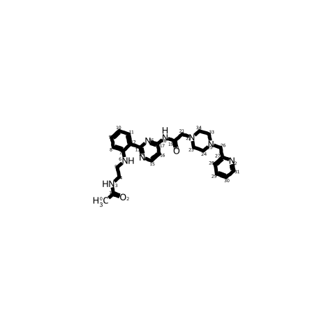 CC(=O)NCCNc1ccccc1-c1nccc(NC(=O)CN2CCN(Cc3ccccn3)CC2)n1